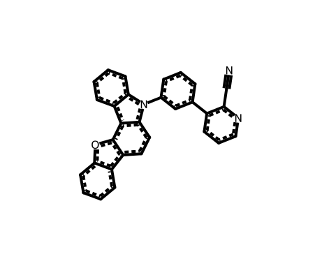 N#Cc1ncccc1-c1cccc(-n2c3ccccc3c3c4oc5ccccc5c4ccc32)c1